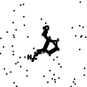 CSc1ccoc1C=O